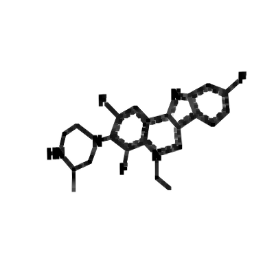 CCn1cc2c3ccc(F)cc3nc-2c2cc(F)c(N3CCNC(C)C3)c(F)c21